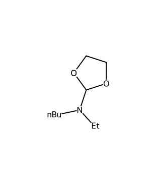 CCCCN(CC)[C]1OCCO1